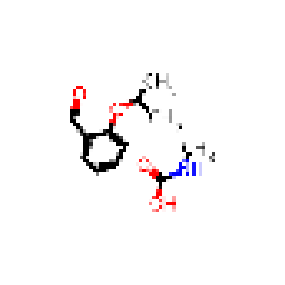 CC(C)Oc1ccccc1C=O.CNC(=O)O